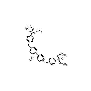 CO[Si](OC)(OC)c1ccc(C[n+]2ccc(-c3cc[n+](Cc4ccc([Si](OC)(OC)OC)cc4)cc3)cc2)cc1.[Cl-].[Cl-]